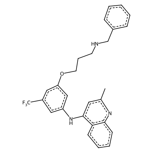 Cc1cc(Nc2cc(OCCCNCc3ccccc3)cc(C(F)(F)F)c2)c2ccccc2n1